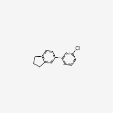 Clc1cc[c]c(-c2ccc3c(c2)CCC3)c1